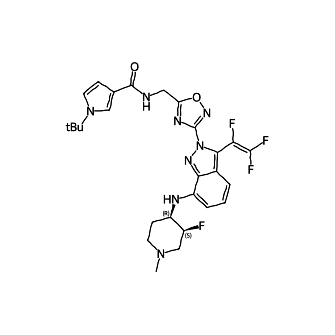 CN1CC[C@@H](Nc2cccc3c(C(F)=C(F)F)n(-c4noc(CNC(=O)c5ccn(C(C)(C)C)c5)n4)nc23)[C@@H](F)C1